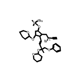 C#C[C@@H](Br)CC1C(O[Si](C)(C)C(C)(C)C)CC(OC2CCCCO2)C1C=CC(C)(COc1ccccc1)OC1CCCCO1